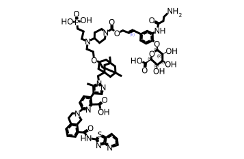 Cc1c(-c2ccc(N3CCc4cccc(C(=O)Nc5nc6ncccc6s5)c4C3)nc2C(=O)O)cnn1CC12CC3(C)CC(C)(C1)CC(OCCN(CCCP(=O)(O)O)C1CCN(C(=O)OC/C=C/c4ccc(O[C@@H]5O[C@H](C(=O)O)[C@@H](O)[C@H](O)[C@H]5O)c(NC(=O)CCN)c4)CC1)(C3)C2